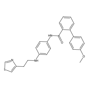 COc1ccc(-c2ccccc2C(=O)Nc2ccc(NCCc3cscn3)cc2)cc1